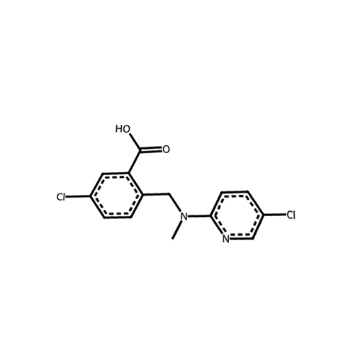 CN(Cc1ccc(Cl)cc1C(=O)O)c1ccc(Cl)cn1